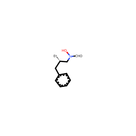 CC[C@@H](Cc1ccccc1)CN(O)C=O